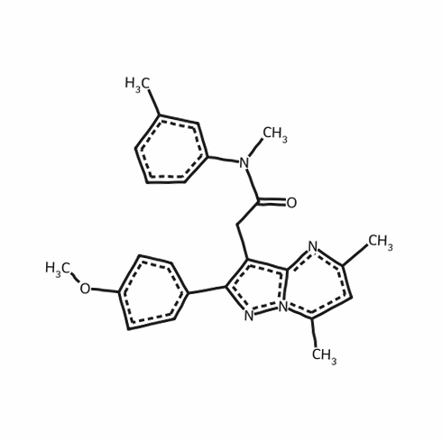 COc1ccc(-c2nn3c(C)cc(C)nc3c2CC(=O)N(C)c2cccc(C)c2)cc1